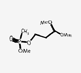 COC(CCOP(C)(=O)OC)OC